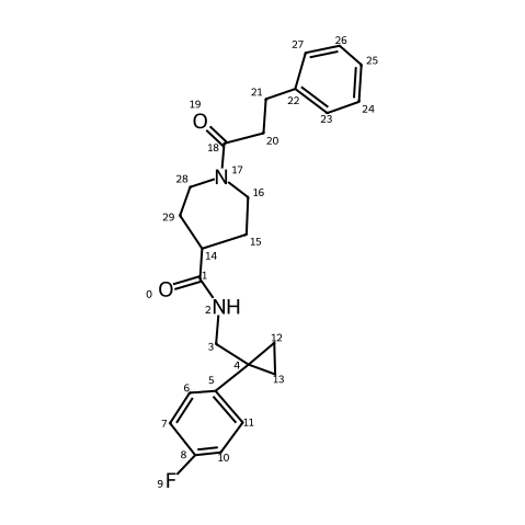 O=C(NCC1(c2ccc(F)cc2)CC1)C1CCN(C(=O)CCc2ccccc2)CC1